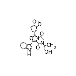 CC(CO)N1CC(=O)N2C(=C(c3c[nH]c4ccccc34)O[C@H]2c2ccc3c(c2)OCO3)C1=O